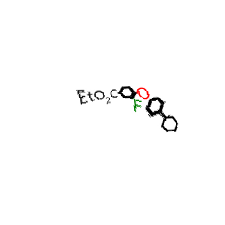 CCOC(=O)c1ccc(Oc2ccc(C3CCCCC3)cc2)c(F)c1